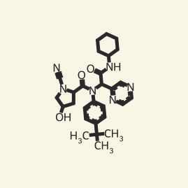 CC(C)(C)c1ccc(N(C(=O)C2CC(O)CN2C#N)C(C(=O)NC2CCCCC2)c2cnccn2)cc1